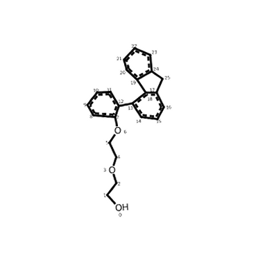 OCCOCCOc1ccccc1-c1cccc2c1-c1ccccc1C2